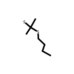 CCCCSC(C)(C)[S]